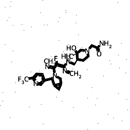 C=N/C(NC[C@@H]1CCN(CC(N)=O)C[C@]1(C)O)=C(F)\C(=N/C)N1CC2CC2C1c1ccc(C(F)(F)F)nc1